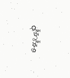 Cc1cccc(Nc2nc(CC(=O)Nc3nc(-c4ccco4)cs3)cs2)n1